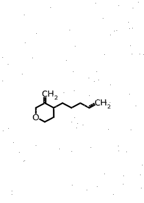 C=CCCCC1CCOCC1=C